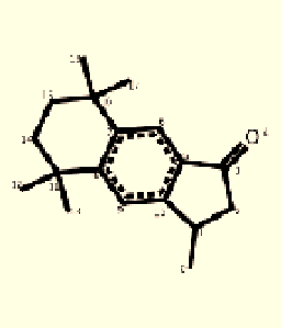 CC1CC(=O)c2cc3c(cc21)C(C)(C)CCC3(C)C